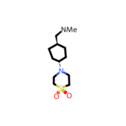 CNC[C@H]1CC[C@H](N2CCS(=O)(=O)CC2)CC1